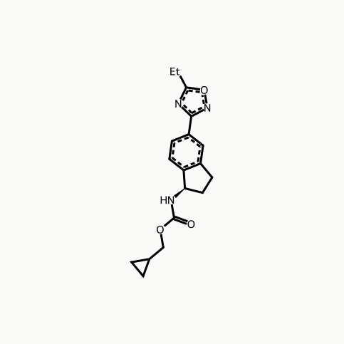 CCc1nc(-c2ccc3c(c2)CC[C@H]3NC(=O)OCC2CC2)no1